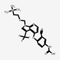 C[Si](C)(C)CCOCn1cc(C(F)(F)F)c2c(Oc3ccc(NC(=O)O)cc3C#N)ccnc21